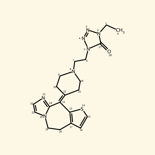 CCn1nnn(CCN2CCC(=C3c4sccc4CCn4ccnc43)CC2)c1=O